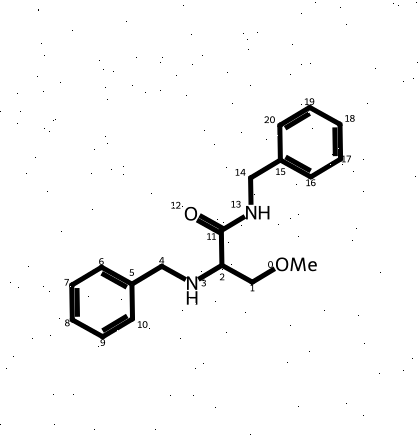 COCC(NCc1ccccc1)C(=O)NCc1ccccc1